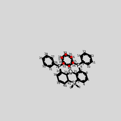 C[Si]1(C)c2cccc(P(c3ccccc3)c3ccccc3)c2OC2C(P(c3ccccc3)c3ccccc3)=CC=CC21